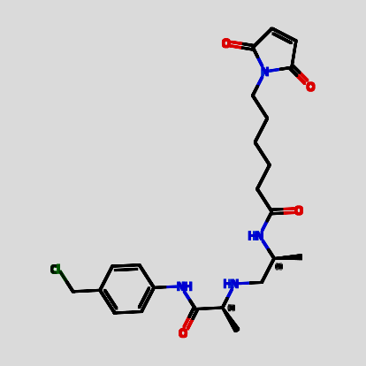 C[C@H](NC[C@H](C)NC(=O)CCCCCN1C(=O)C=CC1=O)C(=O)Nc1ccc(CCl)cc1